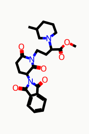 COC(=O)C(CCN1C(=O)CCC(N2C(=O)c3ccccc3C2=O)C1=O)N1CCCC(C)C1